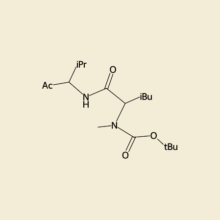 CCC(C)C(C(=O)NC(C(C)=O)C(C)C)N(C)C(=O)OC(C)(C)C